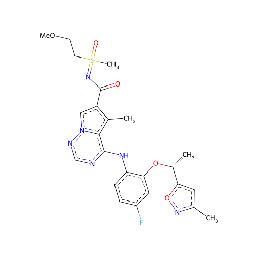 COCCS(C)(=O)=NC(=O)c1cn2ncnc(Nc3ccc(F)cc3O[C@H](C)c3cc(C)no3)c2c1C